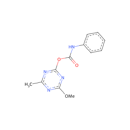 COc1nc(C)nc(OC(=O)Nc2ccccc2)n1